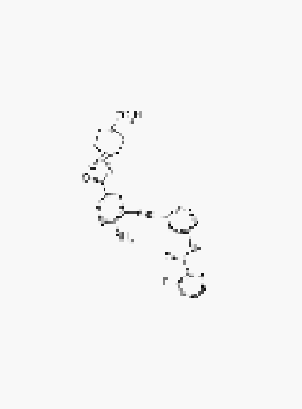 Cc1ccc(F)c(C(=O)Nc2cccc(C#Cc3cc(C(=O)N=S4(=O)CCN(C(=O)O)CC4)cnc3N)c2)c1